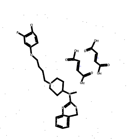 CN(C1=Nc2ccccc2CS1)C1CCN(CCCCOc2ccc(Cl)c(F)c2)CC1.O=C(O)/C=C/C(=O)O.O=C(O)/C=C/C(=O)O